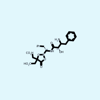 CC(C)C[C@H](NC(=O)[C@@H](O)C(N)Cc1ccccc1)B1OC(=O)C(CC(=O)O)(CC(=O)O)O1